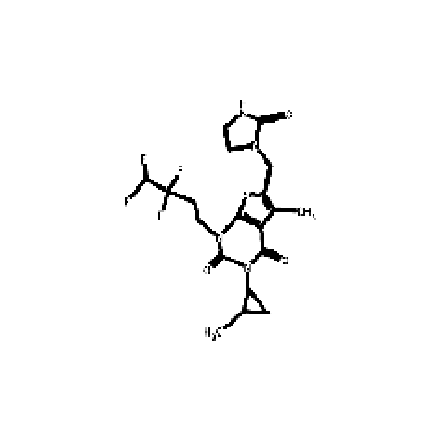 Cc1c(CN2CCNC2=O)sc2c1c(=O)n(C1CC1C)c(=O)n2CCC(F)(F)C(F)F